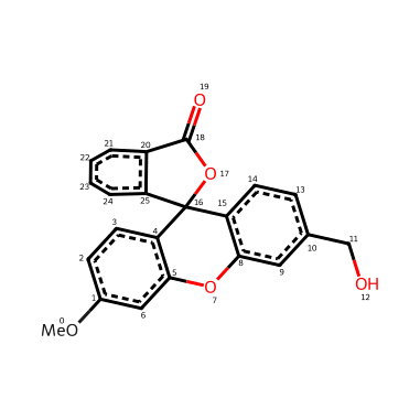 COc1ccc2c(c1)Oc1cc(CO)ccc1C21OC(=O)c2ccccc21